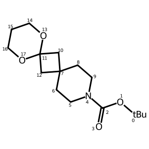 CC(C)(C)OC(=O)N1CCC2(CC1)CC1(C2)OCCCO1